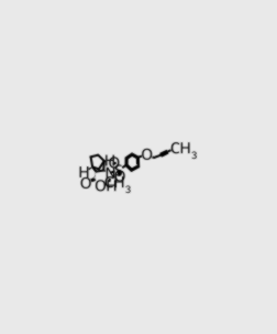 CC#CCOc1ccc(S(=O)(=O)N(C)[C@H]2[C@@H]3CC[C@H](C3)[C@H]2C(=O)O)cc1